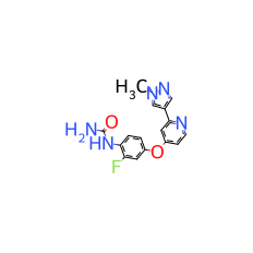 Cn1cc(-c2cc(Oc3ccc(NC(N)=O)c(F)c3)ccn2)cn1